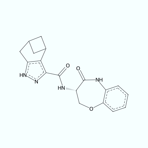 O=C(N[C@H]1COc2ccccc2NC1=O)c1n[nH]c2c1C1CC(C2)C1